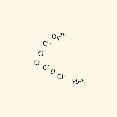 [Cl-].[Cl-].[Cl-].[Cl-].[Cl-].[Cl-].[Dy+3].[Yb+3]